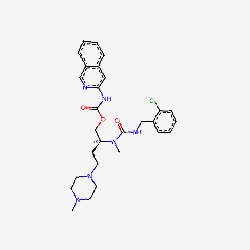 CN1CCN(CC[C@@H](COC(=O)Nc2cc3ccccc3cn2)N(C)C(=O)NCc2ccccc2Cl)CC1